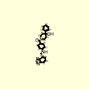 O=C(c1ccc(NSc2cccc3nsnc23)cc1)N1CCC(O)(c2ccccc2)CC1